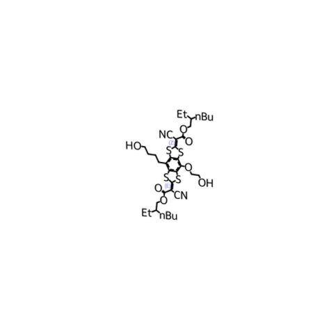 CCCCC(CC)COC(=O)/C(C#N)=C1/Sc2c(CCCCO)c3c(c(OCCO)c2S1)S/C(=C(\C#N)C(=O)OCC(CC)CCCC)S3